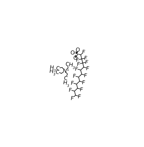 CC[N+](CC)(CC)CC.O=S(=O)([O-])C(F)C(F)(F)C(F)(F)C(F)C(F)C(F)C(F)C(F)C(F)C(F)C(F)C(F)F